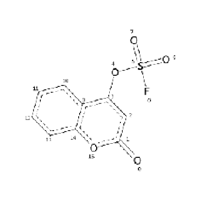 O=c1cc(OS(=O)(=O)F)c2ccccc2o1